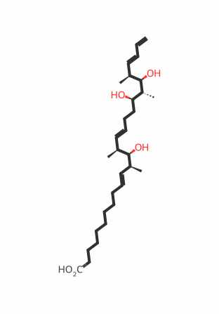 C=C/C=C/[C@H](C)[C@@H](O)[C@H](C)[C@H](O)CC/C=C/[C@H](C)[C@@H](O)[C@@H](C)/C=C/CCCCCCCCC(=O)O